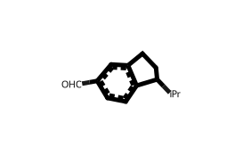 CC(C)C1CCc2cc(C=O)ccc21